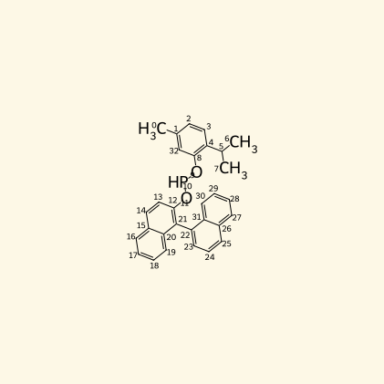 Cc1ccc(C(C)C)c(OPOc2ccc3ccccc3c2-c2cccc3ccccc23)c1